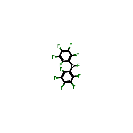 FB(c1c(F)c(F)c(F)c(F)c1F)c1c(F)c(F)c(F)c(F)c1F